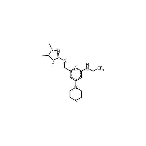 CC1NC(SCc2cc(N3CCSCC3)cc(NCC(F)(F)F)n2)=NN1C